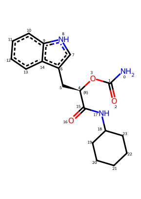 NC(=O)O[C@H](Cc1c[nH]c2ccccc12)C(=O)NC1CCCCC1